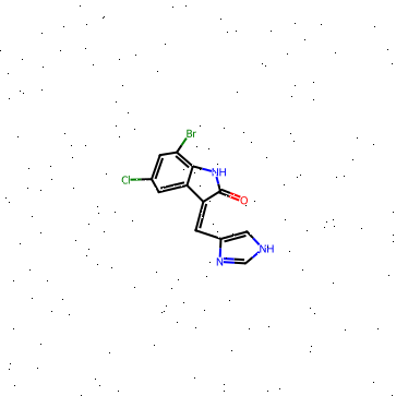 O=C1Nc2c(Br)cc(Cl)cc2C1=Cc1c[nH]cn1